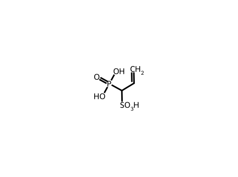 C=CC(P(=O)(O)O)S(=O)(=O)O